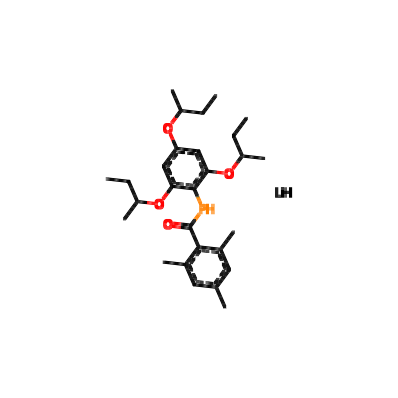 CCC(C)Oc1cc(OC(C)CC)c(PC(=O)c2c(C)cc(C)cc2C)c(OC(C)CC)c1.[LiH]